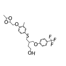 Cc1cc(SCC(CCO)COc2ccc(C(F)(F)F)cc2)ccc1OCC1OC(C)O1